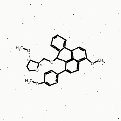 COc1ccc(-c2ccccc2C(OC[C@H]2OCC[C@@H]2OC)c2ccccc2-c2ccc(OC)cc2)cc1